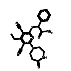 CCc1c(C#N)c(SC(C(N)=O)c2ccccc2)nc(N2CCNC(=O)CC2)c1C#N